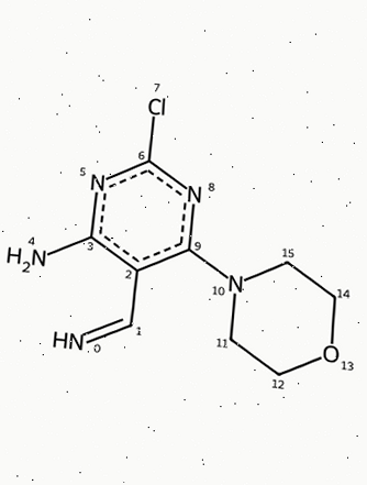 N=Cc1c(N)nc(Cl)nc1N1CCOCC1